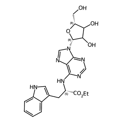 CCOC(=O)[C@H](Cc1c[nH]c2ccccc12)Nc1ncnc2c1ncn2[C@@H]1O[C@H](CO)C(O)C1O